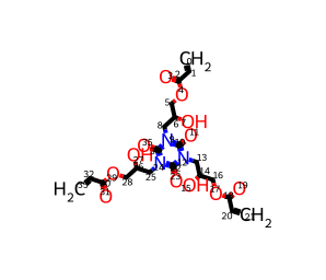 C=CC(=O)OCC(O)Cn1c(=O)n(CC(O)COC(=O)C=C)c(=O)n(CC(O)COC(=O)C=C)c1=O